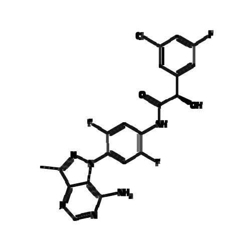 Cc1nn(-c2cc(F)c(NC(=O)[C@H](O)c3cc(F)cc(Cl)c3)cc2F)c2c(N)ncnc12